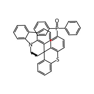 O=P(c1ccccc1)(c1ccccc1)c1ccc2c(c1)C1(c3ccccc3S2)c2ccccc2-n2c3ccccc3c3cccc1c32